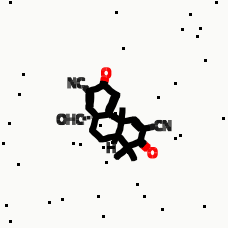 CC1(C)C(=O)C(C#N)=CC2(C)C3=CC(=O)C(C#N)=C[C@]3(C=O)CC[C@@H]12